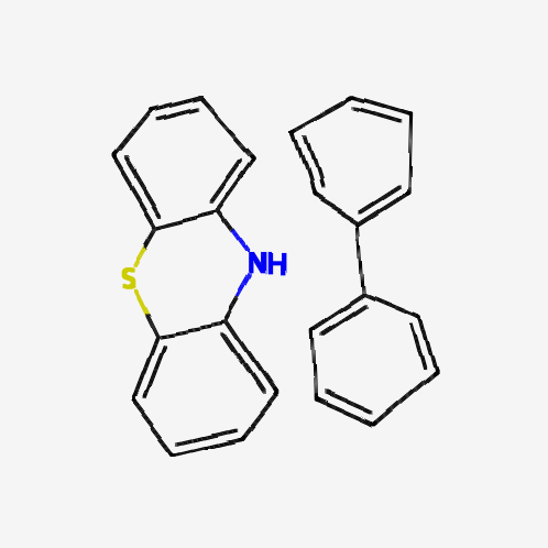 c1ccc(-c2ccccc2)cc1.c1ccc2c(c1)Nc1ccccc1S2